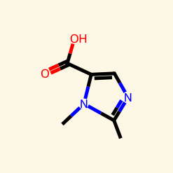 Cc1ncc(C(=O)O)n1C